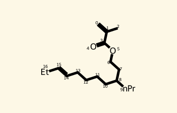 C=C(C)C(=O)OCCC(CCC)CCCCC=CCC